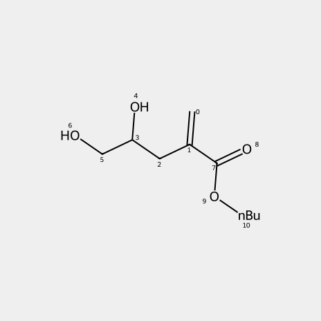 C=C(CC(O)CO)C(=O)OCCCC